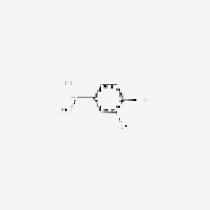 CC[C@@H](O)c1ccc(O)c(O)c1